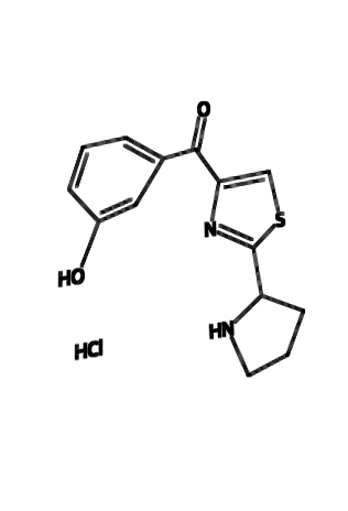 Cl.O=C(c1cccc(O)c1)c1csc(C2CCCN2)n1